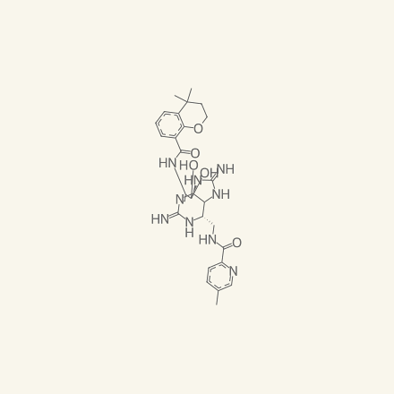 Cc1ccc(C(=O)NC[C@@H]2NC(=N)N3CC(NC(=O)c4cccc5c4OCCC5(C)C)C(O)(O)[C@]34NC(=N)NC24)nc1